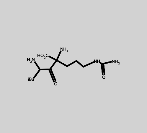 CCC(C)C(N)C(=O)C(N)(CCCNC(N)=O)C(=O)O